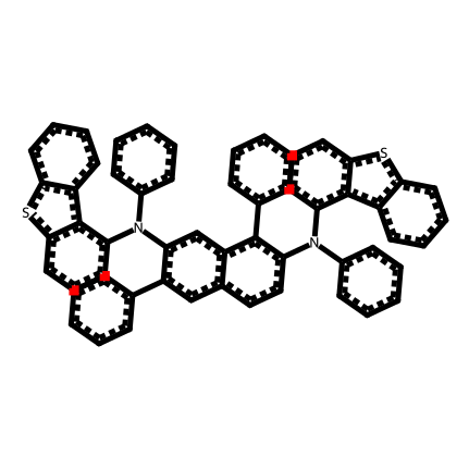 c1ccc(-c2cc3ccc(N(c4ccccc4)c4cccc5sc6ccccc6c45)c(-c4ccccc4)c3cc2N(c2ccccc2)c2cccc3sc4ccccc4c23)cc1